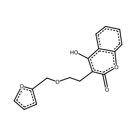 O=c1oc2ccccc2c(O)c1CCOCc1ccco1